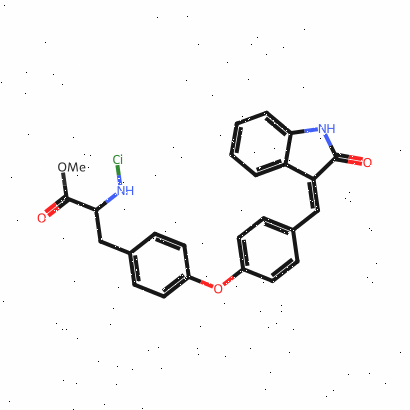 COC(=O)C(Cc1ccc(Oc2ccc(/C=C3/C(=O)Nc4ccccc43)cc2)cc1)NCl